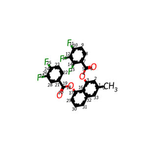 Cc1cc(OC(=O)c2ccc(F)c(F)c2F)c2c(OC(=O)c3ccc(F)c(F)c3)cccc2c1